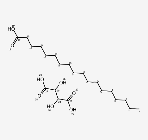 CCCCCCCCCCCCCCCCCC(=O)O.O=C(O)C(O)C(O)C(=O)O